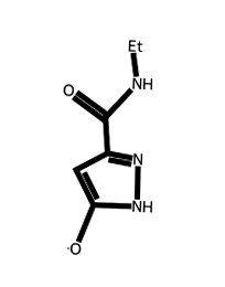 CCNC(=O)c1cc([O])[nH]n1